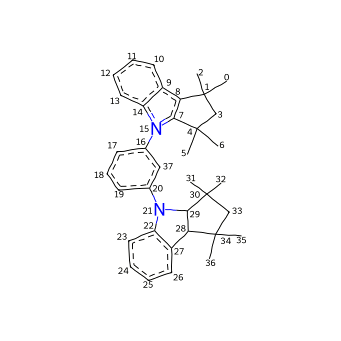 CC1(C)CC(C)(C)c2c1c1ccccc1n2-c1cccc(N2c3ccccc3C3C2C(C)(C)CC3(C)C)c1